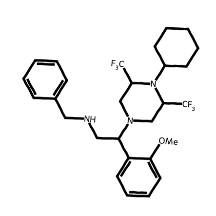 COc1ccccc1C(CNCc1ccccc1)N1CC(C(F)(F)F)N(C2CCCCC2)C(C(F)(F)F)C1